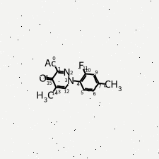 CC(=O)c1nn(-c2ccc(C)cc2F)cc(C)c1=O